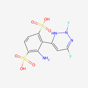 Nc1c(S(=O)(=O)O)ccc(S(=O)(=O)O)c1C1=CC(F)=NN(F)N1